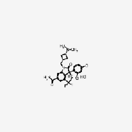 CN(C)[C@H]1C[C@@H](CN2C(=O)C(O)(c3ccc(Cl)cc3Cl)c3c2cc(C(N)=O)cc3C(F)(F)F)C1.Cl